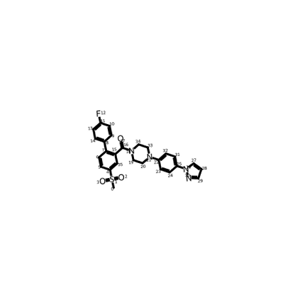 CS(=O)(=O)c1ccc(-c2ccc(F)cc2)c(C(=O)N2CCN(c3ccc(-n4cccn4)cc3)CC2)c1